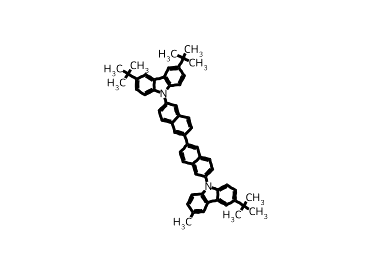 Cc1ccc2c(c1)c1cc(C(C)(C)C)ccc1n2-c1ccc2cc(-c3ccc4cc(-n5c6ccc(C(C)(C)C)cc6c6cc(C(C)(C)C)ccc65)ccc4c3)ccc2c1